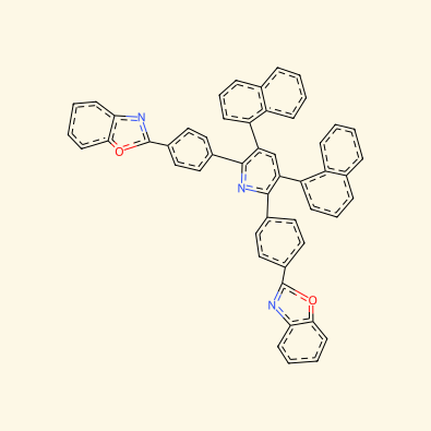 c1ccc2c(-c3cc(-c4cccc5ccccc45)c(-c4ccc(-c5nc6ccccc6o5)cc4)nc3-c3ccc(-c4nc5ccccc5o4)cc3)cccc2c1